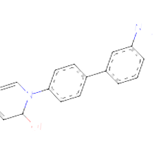 Nc1cccc(-c2ccc(N3C=CC=CC3O)cc2)c1